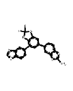 Nc1nc2ccc(-c3[c]c(-c4ccc5ocnc5c4)c4c(c3)OC(F)(F)O4)cc2s1